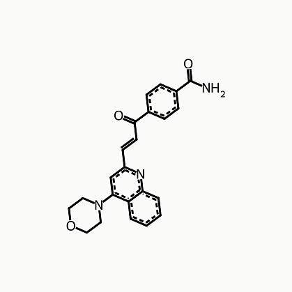 NC(=O)c1ccc(C(=O)C=Cc2cc(N3CCOCC3)c3ccccc3n2)cc1